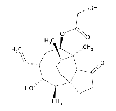 C=C[C@@H]1C[C@@H](OC(=O)CO)[C@@]2(C)C3C(=O)CC[C@@]3(CC[C@H]2C)[C@@H](C)[C@@H]1O